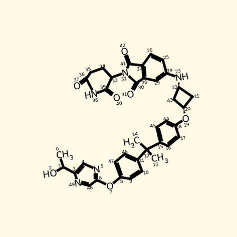 CC(O)c1cnc(Oc2ccc(C(C)(C)c3ccc(O[C@H]4C[C@@H](Nc5ccc6c(c5)C(=O)N(C5CCC(=O)NC5=O)C6=O)C4)cc3)cc2)cn1